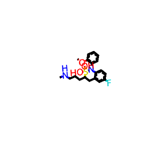 CNCCCC1Cc2cc(F)ccc2N(c2ccccc2OC)S1(O)O